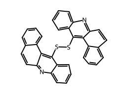 c1ccc2c(c1)ccc1nc3ccccc3c(SSc3c4ccccc4nc4ccc5ccccc5c34)c12